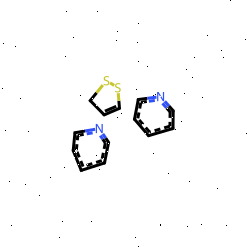 C1=CSSC1.c1ccncc1.c1ccncc1